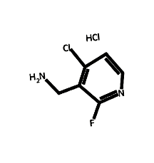 Cl.NCc1c(Cl)ccnc1F